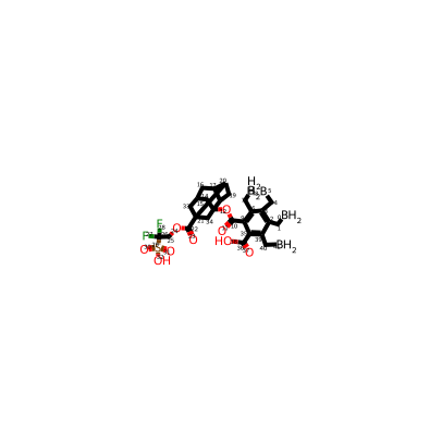 BCc1c(CB)c(CB)c(C(=O)OC23CC4CC5C2CC5C(C(=O)OCC(F)(F)S(=O)(=O)O)(C4)C3)c(C(=O)O)c1CB